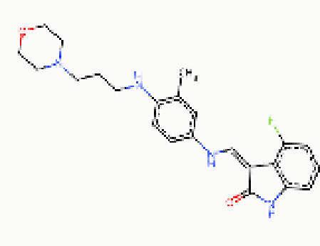 Cc1cc(N/C=C2\C(=O)Nc3cccc(F)c32)ccc1NCCCN1CCOCC1